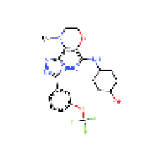 CN1CCOc2c(NC3CCC(O)CC3)nn3c(-c4cccc(OC(F)(F)F)c4)nnc3c21